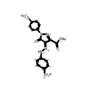 COC(=O)C1=NN(c2ccc(S(=O)(=O)O)cc2)C(=O)/C1=N\Nc1ccc(S(=O)(=O)O)cc1